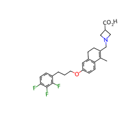 CC1=C(CN2CC(C(=O)O)C2)CCc2cc(OCCCc3ccc(F)c(F)c3F)ccc21